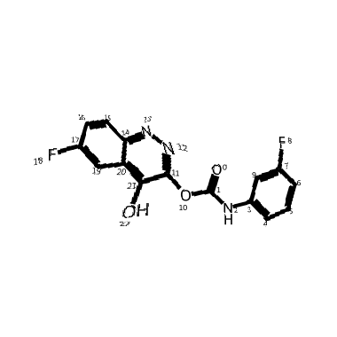 O=C(Nc1cccc(F)c1)Oc1nnc2ccc(F)cc2c1O